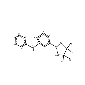 CC1(C)OB(c2ccnc(Nc3ccccc3)c2)OC1(C)C